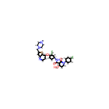 CN1CCN(Cc2cc3nccc(Oc4ccc(NC(=O)c5c(O)ccn(-c6ccc(F)cc6)c5=O)cc4F)c3s2)CC1